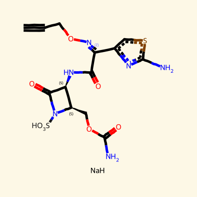 C#CCO/N=C(\C(=O)N[C@@H]1C(=O)N(S(=O)(=O)O)[C@@H]1COC(N)=O)c1csc(N)n1.[NaH]